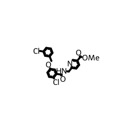 COC(=O)c1ccc(CNC(=O)c2cc(OCc3cccc(Cl)c3)ccc2Cl)nc1